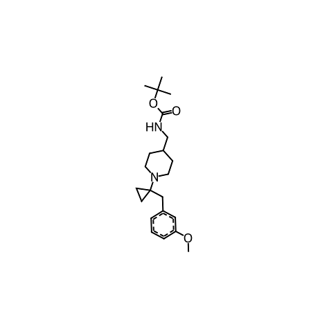 COc1cccc(CC2(N3CCC(CNC(=O)OC(C)(C)C)CC3)CC2)c1